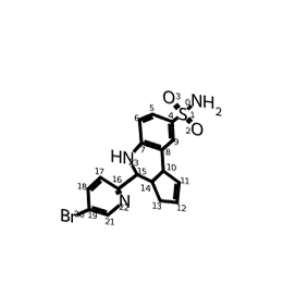 NS(=O)(=O)c1ccc2c(c1)C1C=CCC1C(c1ccc(Br)cn1)N2